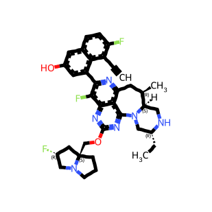 C#Cc1c(F)ccc2cc(O)cc(-c3nc4c5c(nc(OC[C@@]67CCCN6C[C@H](F)C7)nc5c3F)N3C[C@@H](CC)NC[C@@H]3[C@H](C)C4)c12